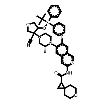 C[C@H]1CN(C2(C#N)COCC2O[Si](c2ccccc2)(c2ccccc2)C(C)(C)C)CCN1c1cc2cc(NC(=O)C3CC34CCOCC4)ncc2cc1Cl